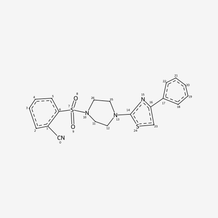 N#Cc1ccccc1S(=O)(=O)N1CCN(c2nc(-c3ccccc3)cs2)CC1